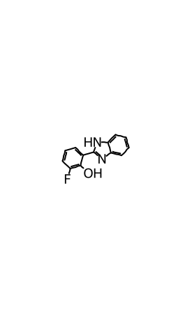 Oc1c(F)cccc1-c1nc2ccccc2[nH]1